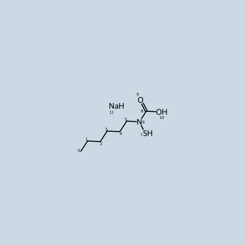 CCCCCCN(S)C(=O)O.[NaH]